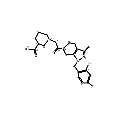 Cc1nn(Cc2ccc(Cl)cc2F)c2c1CCN(C(=O)CN1CCCC(C(=O)O)C1)C2